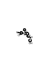 N#Cc1ccc(N2N=C3c4ccc(C(=O)N5CCC(O)CC5)nc4CC[C@@H]3[C@@H]2C2CCCC2)cc1Cl